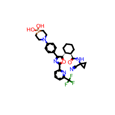 N#CC1(NC(=O)[C@@H]2CCCC[C@H]2c2oc(-c3cccc(C(F)(F)F)n3)nc2-c2ccc(N3CCS(O)(O)CC3)cc2)CC1